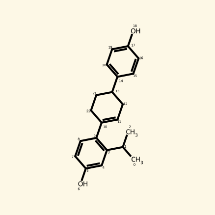 CC(C)c1cc(O)ccc1C1=CCC(c2ccc(O)cc2)CC1